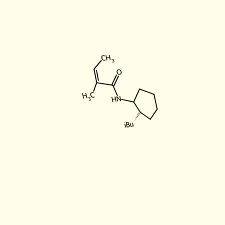 C/C=C(/C)C(=O)NC1CCCCC1[C@@H](C)CC